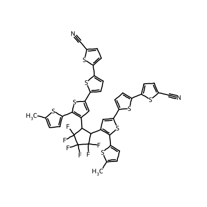 Cc1ccc(-c2sc(-c3ccc(-c4ccc(C#N)s4)s3)cc2C2C(c3cc(-c4ccc(-c5ccc(C#N)s5)s4)sc3-c3ccc(C)s3)C(F)(F)C(F)(F)C2(F)F)s1